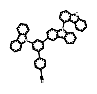 N#Cc1ccc(-c2cc(-c3ccc4c(c3)c3ccccc3n4-c3cccc4oc5ccccc5c34)cc(-n3c4ccccc4c4ccccc43)c2)cc1